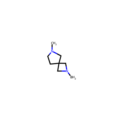 BN1CC2(CCN(C)C2)C1